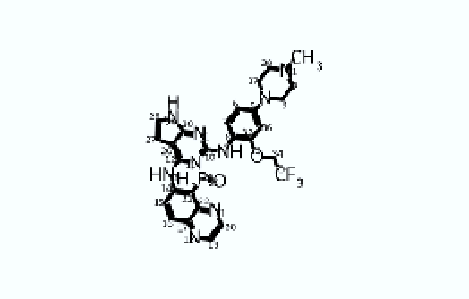 CN1CCN(c2ccc(Nc3nc(Nc4ccc5nccnc5c4[PH2]=O)c4cc[nH]c4n3)c(OCC(F)(F)F)c2)CC1